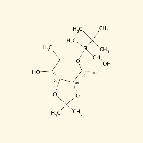 CCC(O)[C@H]1OC(C)(C)O[C@H]1[C@@H](CO)O[Si](C)(C)C(C)(C)C